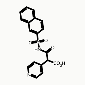 O=C(O)C(C(=O)NS(=O)(=O)c1ccc2ccccc2c1)c1ccncc1